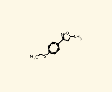 CCSc1ccc(C2=NOC(C)C2)cc1